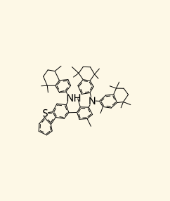 Cc1cc(-c2cc3c(cc2Nc2ccc4c(c2)C(C)(C)CCC4C)sc2ccccc23)c(C)c(N(c2ccc3c(c2)C(C)(C)CCC3(C)C)c2cc3c(cc2C)C(C)(C)CCC3(C)C)c1